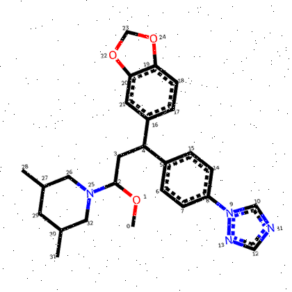 COC(CC(c1ccc(-n2cncn2)cc1)c1ccc2c(c1)OCO2)N1CC(C)CC(C)C1